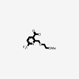 COCCOCc1nc(C(F)(F)F)ccc1C(=O)Cl